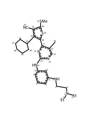 CCN(CC)CCNc1cccc(Nc2ncc(C)c(-c3sc(SC)c(C#N)c3C3CCCCC3)n2)c1